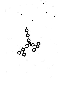 c1ccc(-c2ccc(-c3ccc(N(c4ccc(-c5ccc(-c6ccccc6)c(-c6ccccc6)c5)cc4)c4ccc(-c5c(-c6ccccc6)ccc6ccccc56)cc4)cc3)cc2)cc1